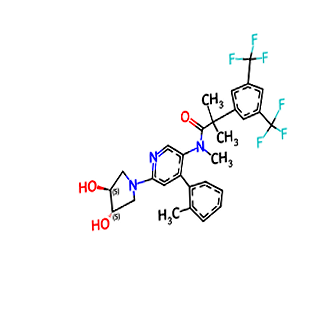 Cc1ccccc1-c1cc(N2C[C@H](O)[C@@H](O)C2)ncc1N(C)C(=O)C(C)(C)c1cc(C(F)(F)F)cc(C(F)(F)F)c1